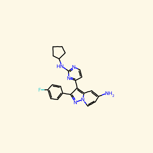 Nc1ccn2nc(-c3ccc(F)cc3)c(-c3ccnc(NC4CCCC4)n3)c2c1